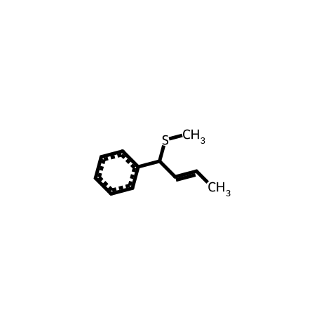 CC=CC(SC)c1ccccc1